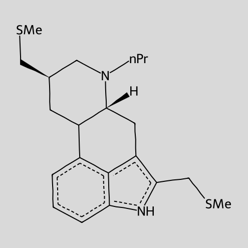 CCCN1C[C@H](CSC)CC2c3cccc4[nH]c(CSC)c(c34)C[C@H]21